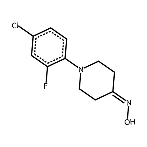 ON=C1CCN(c2ccc(Cl)cc2F)CC1